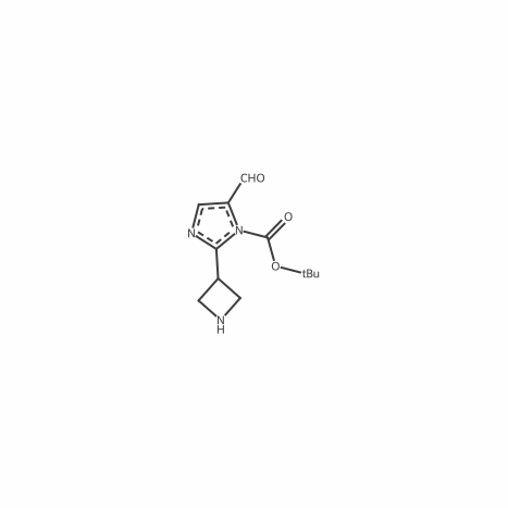 CC(C)(C)OC(=O)n1c(C=O)cnc1C1CNC1